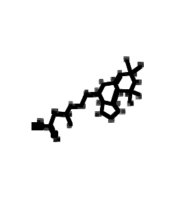 CC(/C=C/C=C1/CC2=CC(C)(C)CC(C)(C)C2=C2CCCC21)=C\C(=O)O